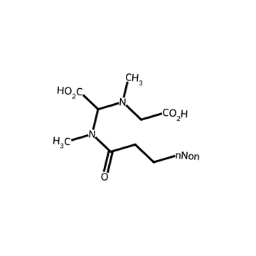 CCCCCCCCCCCC(=O)N(C)C(C(=O)O)N(C)CC(=O)O